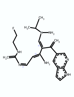 C=C(\N=C/C=C(N)/C(=C/N(N)C(C)C)C(=C)c1cnc2[nH]ccc2c1)NCCF